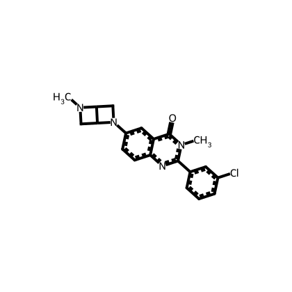 CN1CC2C1CN2c1ccc2nc(-c3cccc(Cl)c3)n(C)c(=O)c2c1